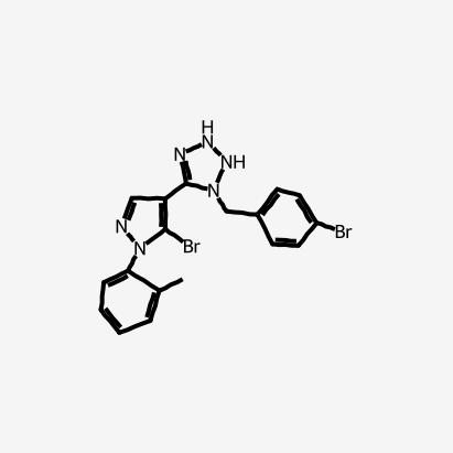 Cc1ccccc1-n1ncc(C2=NNNN2Cc2ccc(Br)cc2)c1Br